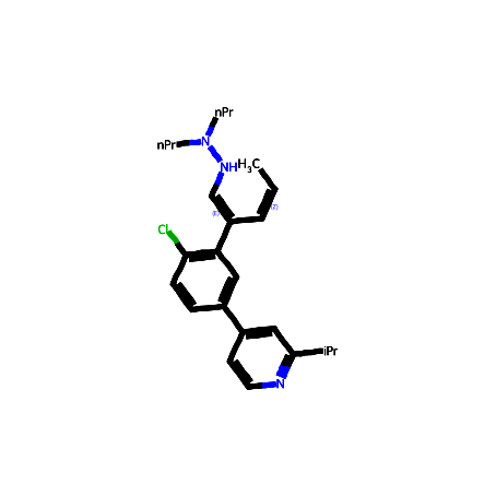 C/C=C\C(=C/NN(CCC)CCC)c1cc(-c2ccnc(C(C)C)c2)ccc1Cl